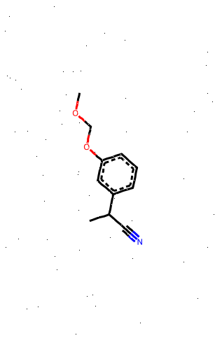 COCOc1cccc(C(C)C#N)c1